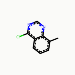 Cc1cccc2c(Cl)ncnc12